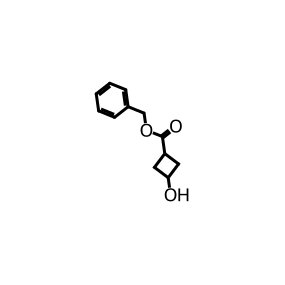 O=C(OCc1ccccc1)C1CC(O)C1